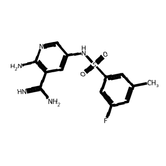 Cc1cc(F)cc(S(=O)(=O)Nc2cnc(N)c(C(=N)N)c2)c1